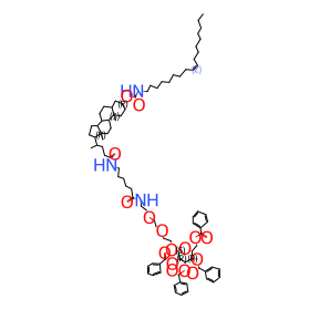 CCCCCCCC/C=C\CCCCCCCCNC(=O)O[C@@H]1CC[C@@]2(C)C(CCC3C4CCC(C(C)CCC(=O)NCCCCCC(=O)NCCOCCOCCO[C@H]5OC(COC(=O)c6ccccc6)[C@@H](OC(=O)c6ccccc6)C(OC(=O)c6ccccc6)[C@H]5OC(=O)c5ccccc5)[C@@]4(C)CCC32)C1